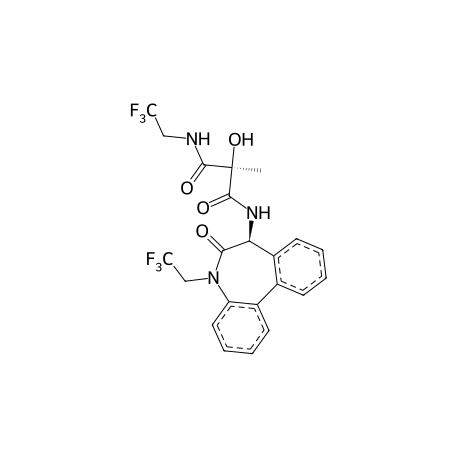 C[C@@](O)(C(=O)NCC(F)(F)F)C(=O)N[C@@H]1C(=O)N(CC(F)(F)F)c2ccccc2-c2ccccc21